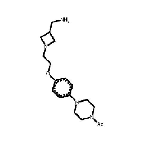 CC(=O)N1CCN(c2ccc(OCCN3CC(CN)C3)cc2)CC1